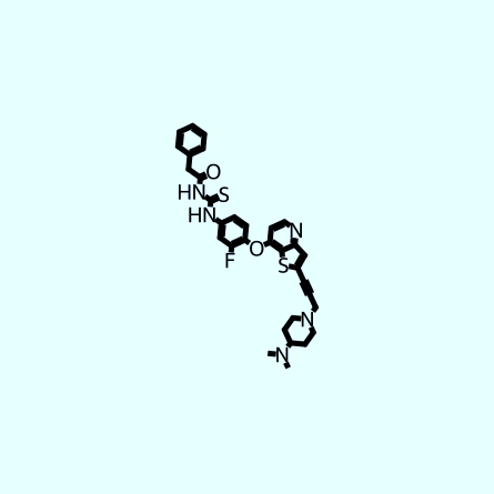 CN(C)C1CCN(CC#Cc2cc3nccc(Oc4ccc(NC(=S)NC(=O)Cc5ccccc5)cc4F)c3s2)CC1